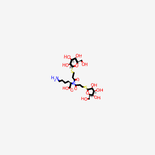 NCCCC[C@H](C(=O)O)N(C(=O)CCS[C@H]1O[C@H](CO)[C@@H](O)[C@H](O)[C@@H]1O)C(=O)CCS[C@H]1O[C@H](CO)[C@@H](O)[C@H](O)[C@@H]1O